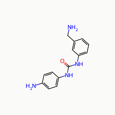 NCc1cccc(NC(=O)Nc2ccc(N)cc2)c1